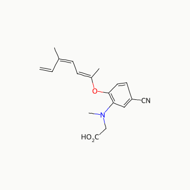 C=C/C(C)=C\C=C(/C)Oc1ccc(C#N)cc1N(C)CC(=O)O